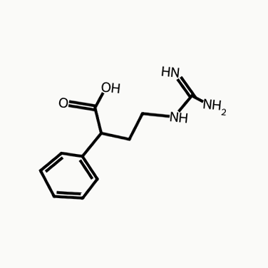 N=C(N)NCCC(C(=O)O)c1ccccc1